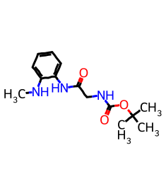 CNc1ccccc1NC(=O)CNC(=O)OC(C)(C)C